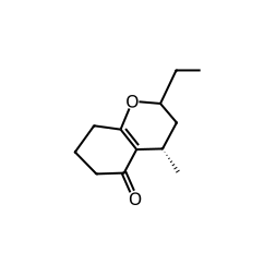 CCC1C[C@H](C)C2=C(CCCC2=O)O1